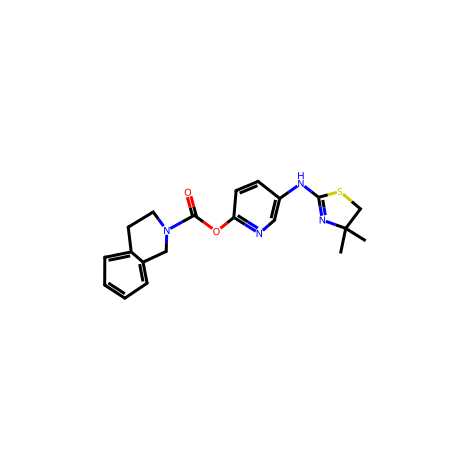 CC1(C)CSC(Nc2ccc(OC(=O)N3CCc4ccccc4C3)nc2)=N1